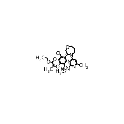 CCOC(=O)[C@@H](C)Oc1cc(Cl)c([C@H]2COCCCN2c2cc(C)nc(N)n2)cc1OC